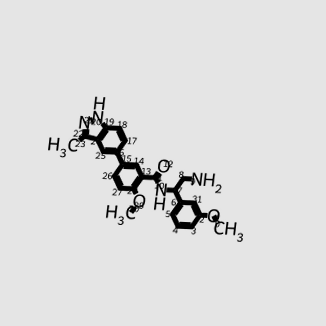 COc1cccc(C(CN)NC(=O)c2cc(-c3ccc4[nH]nc(C)c4c3)ccc2OC)c1